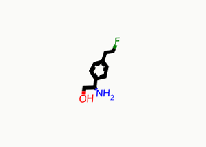 NC(CO)c1ccc(CCF)cc1